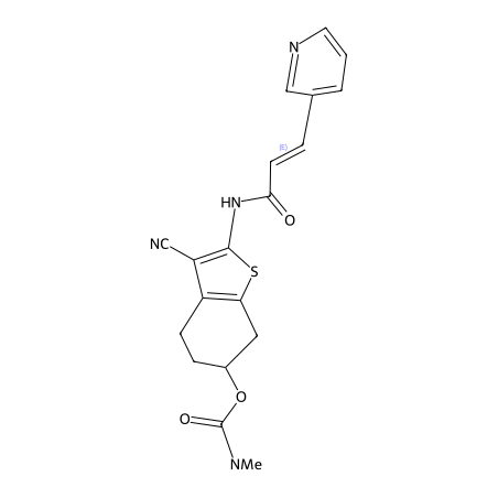 CNC(=O)OC1CCc2c(sc(NC(=O)/C=C/c3cccnc3)c2C#N)C1